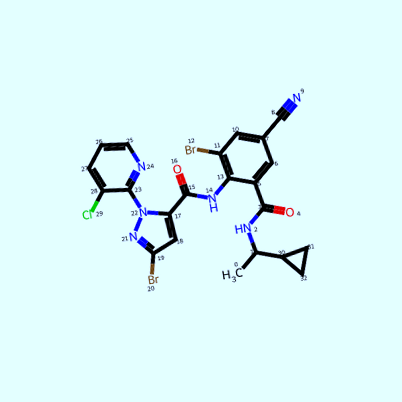 CC(NC(=O)c1cc(C#N)cc(Br)c1NC(=O)c1cc(Br)nn1-c1ncccc1Cl)C1CC1